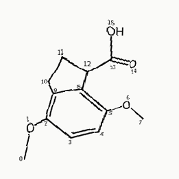 COc1ccc(OC)c2c1CCC2C(=O)O